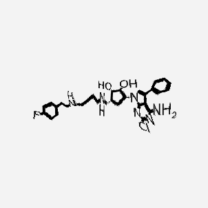 Nc1nc(Cl)nc2c1c(-c1ccccc1)cn2[C@@H]1C[C@H](CNCCCNCCc2ccc(F)cc2)[C@@H](O)[C@H]1O